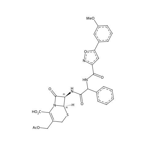 COc1cccc(-c2cc(C(=O)NC(C(=O)N[C@@H]3C(=O)N4C(C(=O)O)=C(COC(C)=O)CS[C@H]34)c3ccccc3)no2)c1